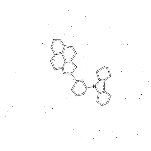 c1cc(-c2cc3ccc4cccc5ccc(c2)c3c45)cc(-n2c3ccccc3c3ccccc32)c1